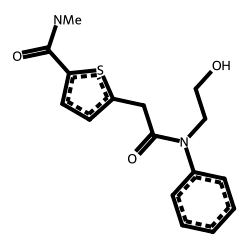 CNC(=O)c1ccc(CC(=O)N(CCO)c2ccccc2)s1